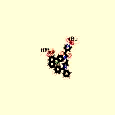 CC(C)(C)OC(=O)N1CCC(C2Oc3cc(-c4cc(OC(=O)C(C)(C)C)cc5ccccc45)c(Cl)cc3N(CC3CN(C(c4ccccc4)c4ccccc4)C3)C2=O)CC1